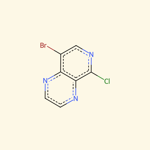 Clc1ncc(Br)c2nccnc12